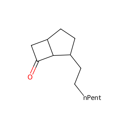 CCCCCCCC1CCC2CC(=O)C12